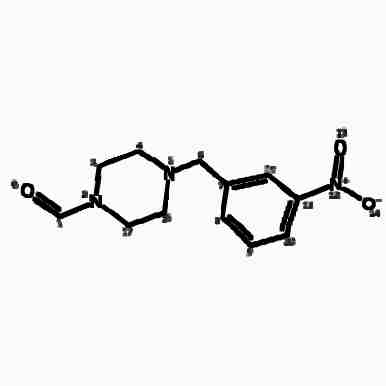 O=CN1CCN(Cc2cccc([N+](=O)[O-])c2)CC1